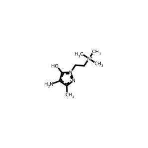 Cc1nn(CC[N+](C)(C)C)c(O)c1N